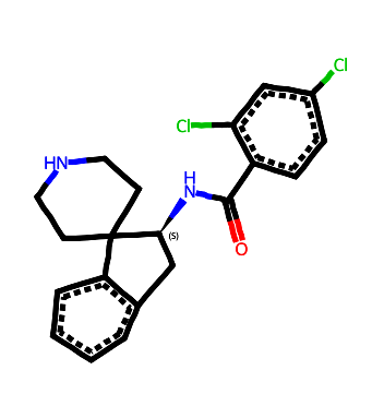 O=C(N[C@H]1Cc2ccccc2C12CCNCC2)c1ccc(Cl)cc1Cl